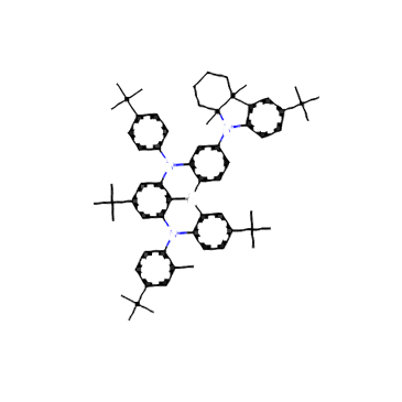 Cc1cc(C(C)(C)C)ccc1N1c2ccc(C(C)(C)C)cc2B2c3ccc(N4c5ccc(C(C)(C)C)cc5C5(C)CCCCC45C)cc3N(c3ccc(C(C)(C)C)cc3)c3cc(C(C)(C)C)cc1c32